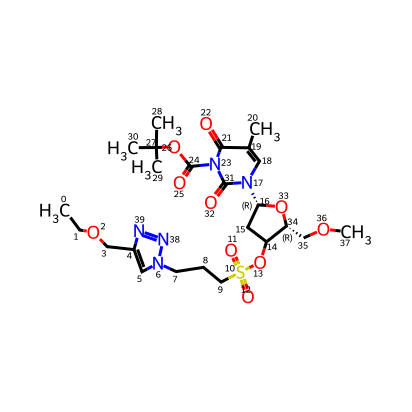 CCOCc1cn(CCCS(=O)(=O)OC2C[C@H](n3cc(C)c(=O)n(C(=O)OC(C)(C)C)c3=O)O[C@@H]2COC)nn1